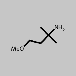 COCCC(C)(C)N